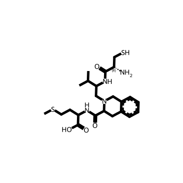 CSCCC(NC(=O)C1Cc2ccccc2CN1CC(NC(=O)[C@@H](N)CS)C(C)C)C(=O)O